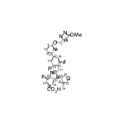 COc1nnc(COc2cccc(-c3cc(F)c(Cc4nc5c(F)cc(C(=O)O)cc5n4C4COCC4(C)C)c(F)c3)n2)s1